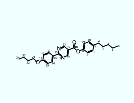 CCCCCc1ccc(OC(=O)c2cnc(-c3ccc(OCCCC)cc3)nc2)cc1